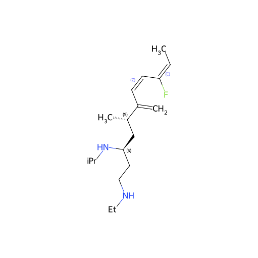 C=C(/C=C\C(F)=C/C)[C@@H](C)C[C@@H](CCNCC)NC(C)C